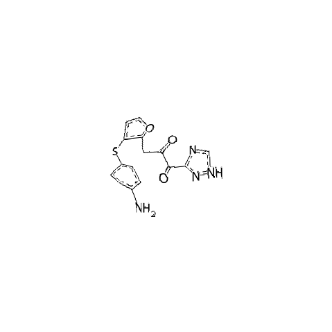 Nc1ccc(Sc2ccoc2CC(=O)C(=O)c2nc[nH]n2)cc1